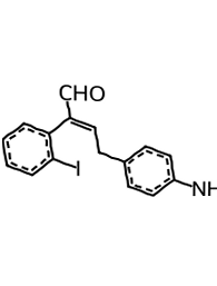 Nc1ccc(C/C=C(/C=O)c2ccccc2I)cc1